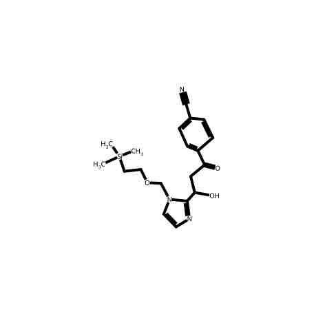 C[Si](C)(C)CCOCn1ccnc1C(O)CC(=O)c1ccc(C#N)cc1